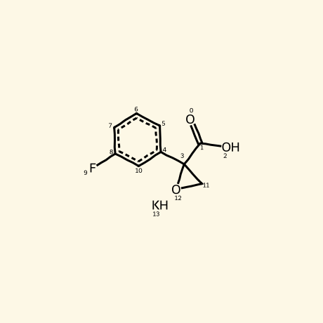 O=C(O)C1(c2cccc(F)c2)CO1.[KH]